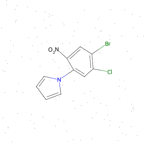 O=[N+]([O-])c1cc(Br)c(Cl)cc1-n1cccc1